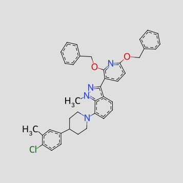 Cc1cc(C2CCN(c3cccc4c(-c5ccc(OCc6ccccc6)nc5OCc5ccccc5)nn(C)c34)CC2)ccc1Cl